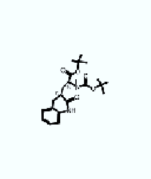 CC(C)(C)OC(=O)N[C@@H](C[C@@H]1Cc2ccccc2NC1=O)C(=O)OC(C)(C)C